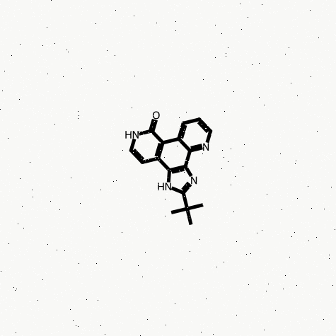 CC(C)(C)c1nc2c3ncccc3c3c(=O)[nH]ccc3c2[nH]1